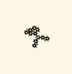 c1ccc(-c2cc(-c3nc(-c4ccc5c(c4)sc4ccccc45)nc(-c4ccc5c(c4)sc4ccccc45)n3)cc(-c3ccccc3)c2-n2c3ccccc3c3cc4oc5ccccc5c4cc32)cc1